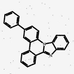 c1ccc(-c2ccc3c(c2)c2ccccc2c2nc4ccccc4n32)cc1